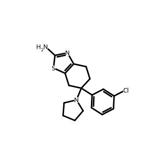 Nc1nc2c(s1)CC(c1cccc(Cl)c1)(N1CCCC1)CC2